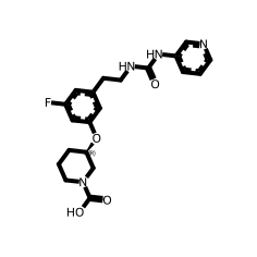 O=C(NCCc1cc(F)cc(O[C@@H]2CCCN(C(=O)O)C2)c1)Nc1cccnc1